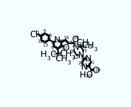 CC(C)(C)c1cc(-c2ccc(Cl)cc2)nc2cc(C(=O)N3CCN(c4cnc(C(=O)O)cn4)CC3(C)C)oc12